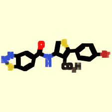 O=C(Nc1csc(-c2ccc(Br)cc2)c1C(=O)O)c1ccc2snnc2c1